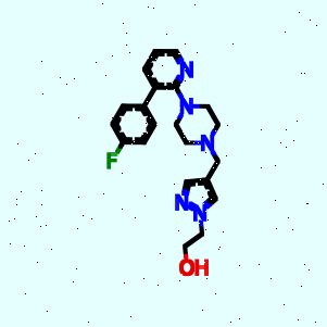 OCCn1cc(CN2CCN(c3ncccc3-c3ccc(F)cc3)CC2)cn1